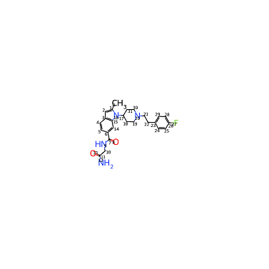 Cc1cc2ccc(C(=O)NCC(N)=O)cc2n1C1CCN(CCc2ccc(F)cc2)CC1